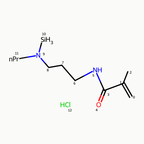 C=C(C)C(=O)NCCCN([SiH3])CCC.Cl